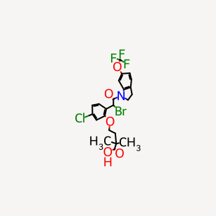 CC(C)(CCOc1cc(Cl)ccc1C(Br)C(=O)N1CCc2ccc(OC(F)(F)F)cc21)C(=O)O